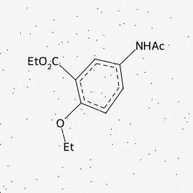 CCOC(=O)c1cc(NC(C)=O)ccc1OCC